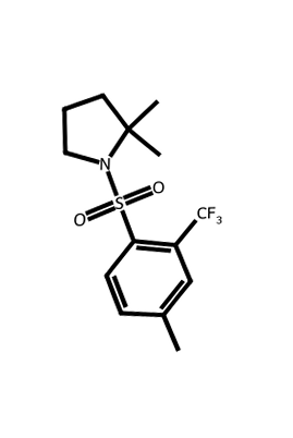 Cc1ccc(S(=O)(=O)N2CCCC2(C)C)c(C(F)(F)F)c1